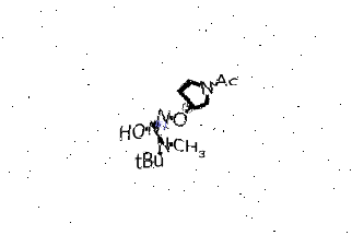 CC(=O)N1CC[C@H](O/N=[N+](/O)N(C)C(C)(C)C)C1